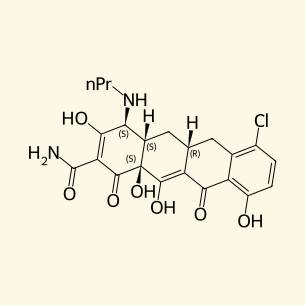 CCCN[C@@H]1C(O)=C(C(N)=O)C(=O)[C@@]2(O)C(O)=C3C(=O)c4c(O)ccc(Cl)c4C[C@H]3C[C@@H]12